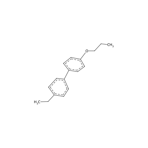 CCCOc1ccc(-c2ccc(CC)cc2)cc1